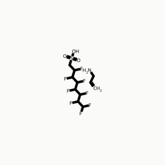 C=CCN.O=S(=O)(O)CC(F)C(F)C(F)C(F)C(F)C(F)C(F)F